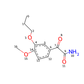 CCCOc1cc(C(=O)C(N)=O)ccc1OC